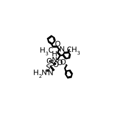 Cc1c(-c2cc(C(=O)NS(=O)(=O)c3cnc(N)s3)c3c(OCCc4ccccc4)ccc(C)c3n2)oc2ccccc12